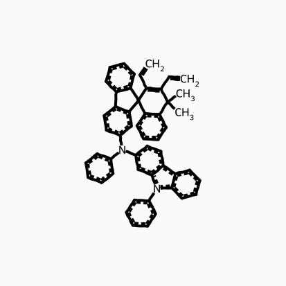 C=CC1=C(C=C)C2(c3ccccc3-c3ccc(N(c4ccccc4)c4ccc5c6ccccc6n(-c6ccccc6)c5c4)cc32)c2ccccc2C1(C)C